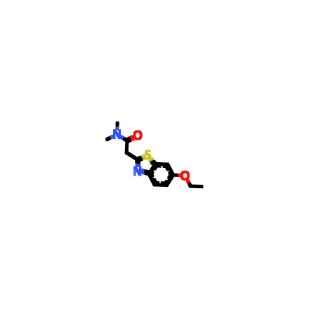 CCOc1ccc2nc(CC(=O)N(C)C)sc2c1